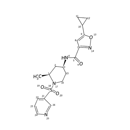 C[C@H]1C[C@@H](NC(=O)c2cc(C3CC3)on2)CCN1S(=O)(=O)c1cccnc1